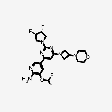 Nc1ncc(-c2cc(N3CC(N4CCOCC4)C3)nc(N3C[C@@H](F)[C@H](F)C3)n2)cc1OC(F)F